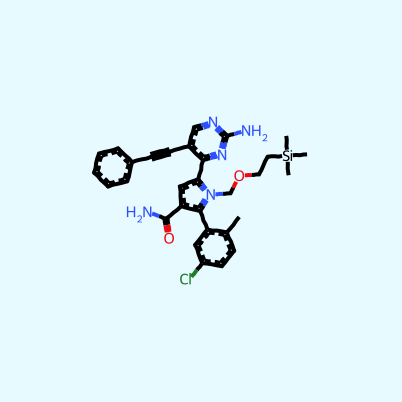 Cc1ccc(Cl)cc1-c1c(C(N)=O)cc(-c2nc(N)ncc2C#Cc2ccccc2)n1COCC[Si](C)(C)C